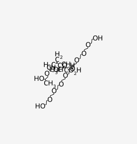 C=C(C)C(=O)O.C=C(C)C(=O)O.CC(O)COC(C)CO.OCCOCCOCCOCCOCCOCCOCCOCCOCCO